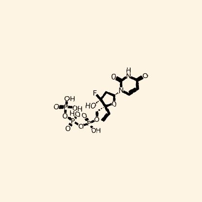 C=C[C@]1(COP(=O)(O)OP(=O)(O)OP(=O)(O)O)O[C@@H](n2ccc(=O)[nH]c2=O)C[C@]1(O)F